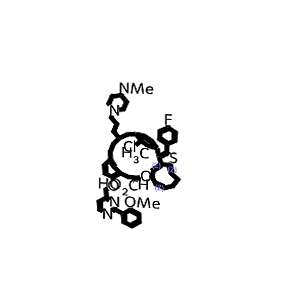 CNC1CCN(CCCC2CCc3ccc(OCc4ccnc(-c5ccccc5OC)n4)c(c3)C[C@H](C(=O)O)O/C3=c4\c(c(-c5ccc(F)cc5)s\c4=C/CC/C=C\C3)-c3ccc(c(Cl)c3C)C2)CC1